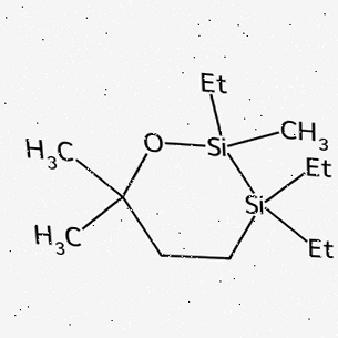 CC[Si]1(CC)CCC(C)(C)O[Si]1(C)CC